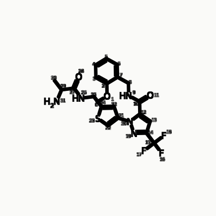 COc1ccccc1CNC(=O)c1cc(C(F)(F)F)nn1-c1csc(CNC(=O)C(C)N)c1